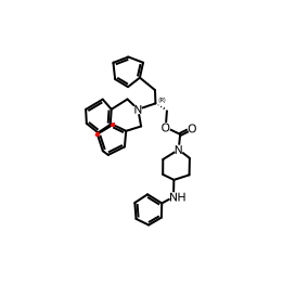 O=C(OC[C@@H](Cc1ccccc1)N(Cc1ccccc1)Cc1ccccc1)N1CCC(Nc2ccccc2)CC1